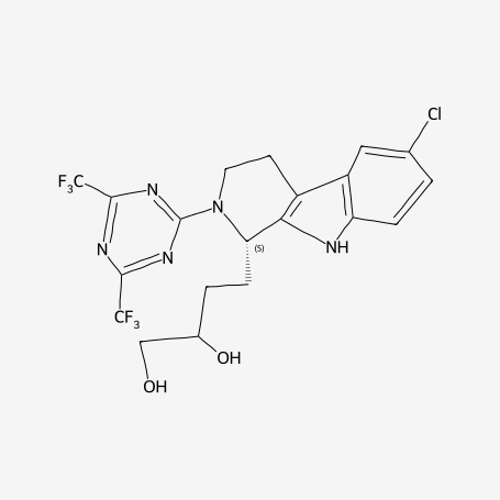 OCC(O)CC[C@H]1c2[nH]c3ccc(Cl)cc3c2CCN1c1nc(C(F)(F)F)nc(C(F)(F)F)n1